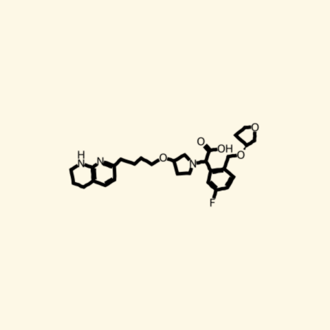 O=C(O)C(c1cc(F)ccc1CO[C@@H]1CCOC1)N1CCC(OCCCCc2ccc3c(n2)NCCC3)C1